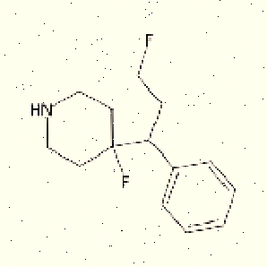 FCCC(c1ccccc1)C1(F)CCNCC1